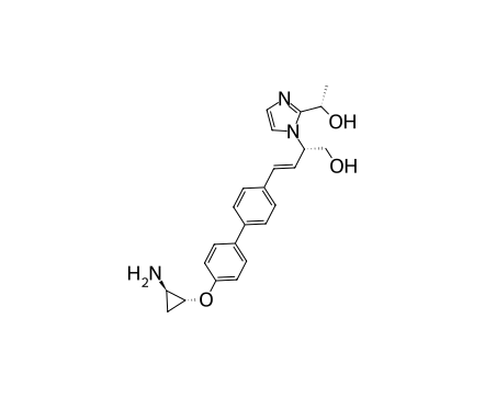 C[C@H](O)c1nccn1[C@@H](/C=C/c1ccc(-c2ccc(O[C@@H]3C[C@H]3N)cc2)cc1)CO